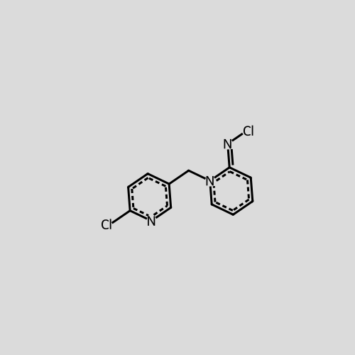 Cl/N=c1\ccccn1Cc1ccc(Cl)nc1